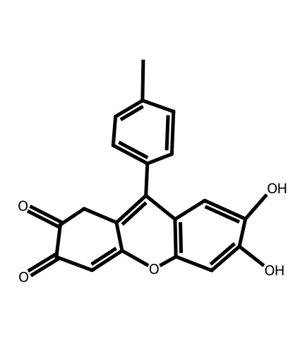 Cc1ccc(C2=C3CC(=O)C(=O)C=C3Oc3cc(O)c(O)cc32)cc1